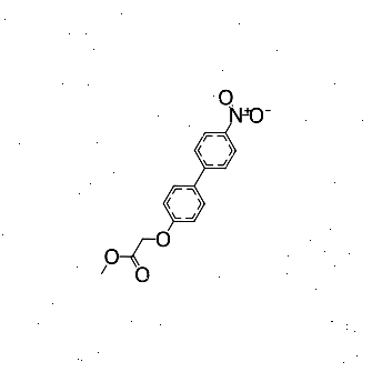 COC(=O)COc1ccc(-c2ccc([N+](=O)[O-])cc2)cc1